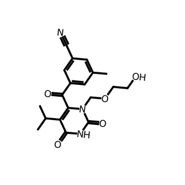 Cc1cc(C#N)cc(C(=O)c2c(C(C)C)c(=O)[nH]c(=O)n2COCCO)c1